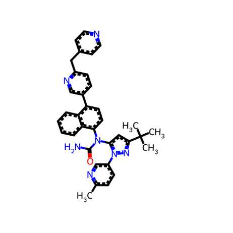 Cc1ccc(-n2nc(C(C)(C)C)cc2N(C(N)=O)c2ccc(-c3ccc(Cc4ccncc4)nc3)c3ccccc23)cn1